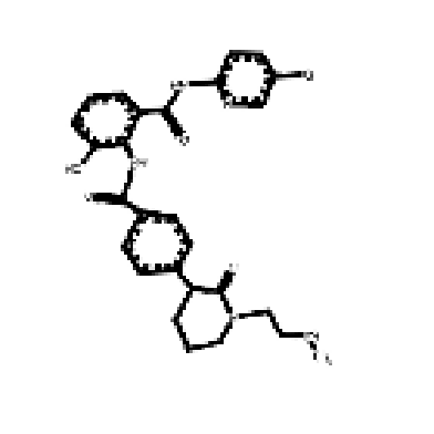 CNCCN1CCCC(c2ccc(C(=O)Nc3c(O)cccc3C(=O)Nc3ccc(Cl)cn3)cc2)C1=O